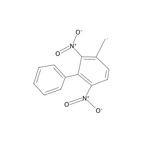 [CH2]c1ccc([N+](=O)[O-])c(-c2ccccc2)c1[N+](=O)[O-]